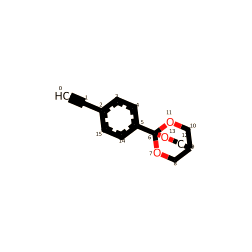 C#Cc1ccc(C23OCC(CO2)CO3)cc1